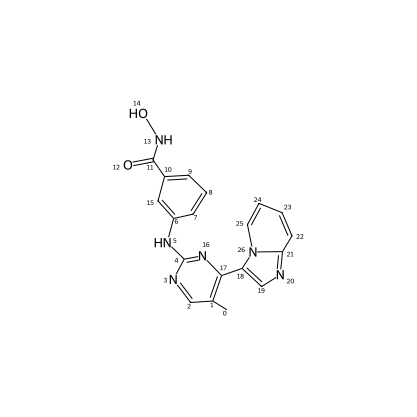 Cc1cnc(Nc2cccc(C(=O)NO)c2)nc1-c1cnc2ccccn12